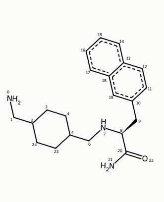 NCC1CCC(CN[C@@H](Cc2ccc3ccccc3c2)C(N)=O)CC1